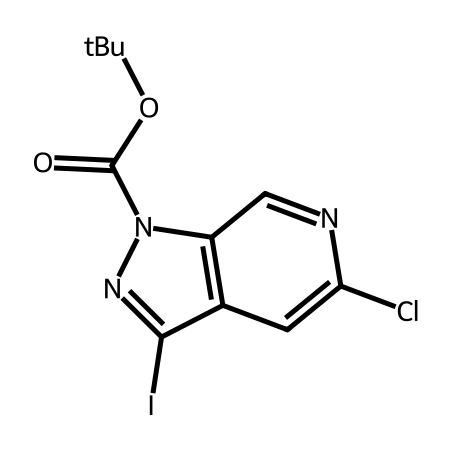 CC(C)(C)OC(=O)n1nc(I)c2cc(Cl)ncc21